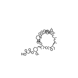 CC[C@@H]1/C=C(\C)C[C@H](C)C[C@H](OC)[C@H]2O[C@@](O)(C(=O)C(=O)N3CCCC[C@H]3C(=O)O[C@H](/C(C)=C/[C@@H]3CC[C@@H](OC(=O)CC(=O)O)[C@H](OC)C3)[C@H](C)CCC1=O)[C@H](C)C[C@@H]2OC